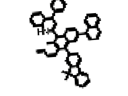 C=C/C=C\c1c(C)c(C2=CC(c3ccccc3)=C3C=CC=CC3N2)c2ccc(-c3cccc4ccccc34)cc2c1-c1ccc2c(c1)C(C)(C)c1ccccc1-2